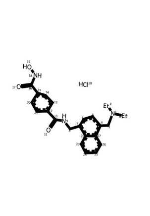 CCN(CC)Cc1ccc(CNC(=O)c2ccc(C(=O)NO)cc2)c2ccccc12.Cl